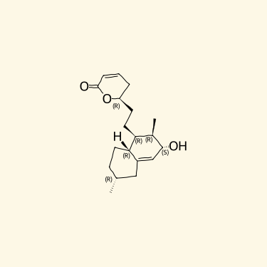 C[C@@H]1CC[C@H]2C(=C[C@@H](O)[C@H](C)[C@@H]2CC[C@@H]2CC=CC(=O)O2)C1